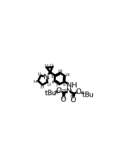 CC(C)(C)OC(=O)N(Nc1ccc(C2(N3CCCC3)CC2)cc1)C(=O)OC(C)(C)C